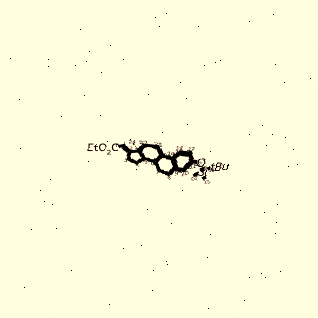 CCOC(=O)C=C1CCC2C3CCc4cc(O[Si](C)(C)C(C)(C)C)ccc4C3CC[C@]12C